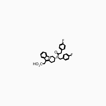 O=C(O)Cc1c2n(c3ccccc13)C[C@H](N(Cc1ccc(F)cc1)C(=O)Cc1ccc(F)cc1)CC2